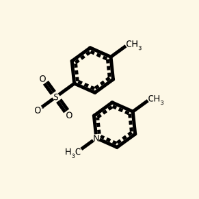 Cc1cc[n+](C)cc1.Cc1ccc(S(=O)(=O)[O-])cc1